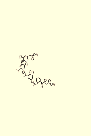 Cc1cc2c(NC(=O)CC(=O)O)cccc2n1Cc1ccc(O)c(C(C)COc2ccc(Oc3c(Cl)cc(CC(=O)O)cc3Cl)cc2C(C)C)c1